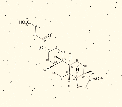 C[C@]12CC[C@@H](OC(=O)CCC(=O)O)C[C@H]1CC[C@@H]1[C@@H]2CC[C@]2(C)C(=O)CC[C@@H]12